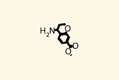 COC(=O)c1ccc2c(c1)OCCC2N